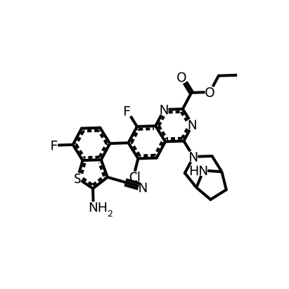 CCOC(=O)c1nc(N2CC3CCC(C2)N3)c2cc(Cl)c(-c3ccc(F)c4sc(N)c(C#N)c34)c(F)c2n1